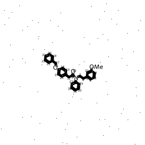 COc1cccc(CCN(C(=O)Cc2ccc(OCc3ccccc3)cc2)c2ccccc2)c1